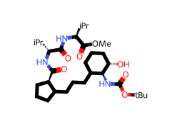 COC(=O)[C@@H](NC(=O)[C@H](NC(=O)[C@@H]1CCCC1CCCC1CCC[C@H](O)[C@H]1NC(=O)OC(C)(C)C)C(C)C)C(C)C